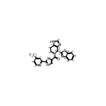 O=C(c1cnc(-c2cc(C(F)(F)F)ccn2)s1)N1CCc2[nH]cnc2[C@H]1c1nc2ccccc2s1